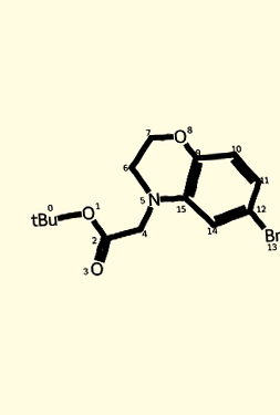 CC(C)(C)OC(=O)CN1CCOc2ccc(Br)cc21